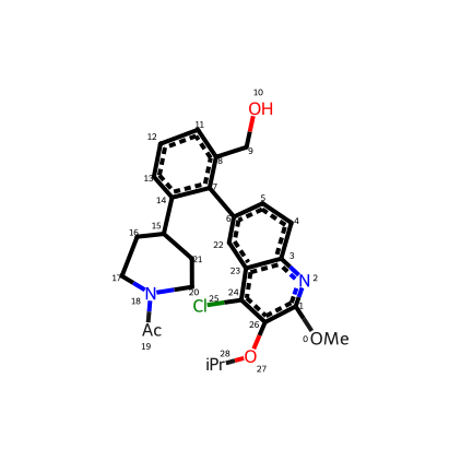 COc1nc2ccc(-c3c(CO)cccc3C3CCN(C(C)=O)CC3)cc2c(Cl)c1OC(C)C